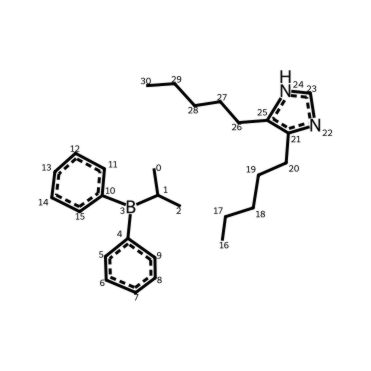 CC(C)B(c1ccccc1)c1ccccc1.CCCCCc1nc[nH]c1CCCCC